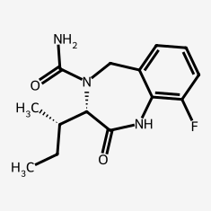 CC[C@H](C)[C@H]1C(=O)Nc2c(F)cccc2CN1C(N)=O